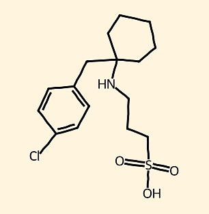 O=S(=O)(O)CCCNC1(Cc2ccc(Cl)cc2)CCCCC1